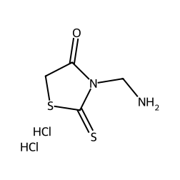 Cl.Cl.NCN1C(=O)CSC1=S